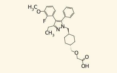 CCc1nn(C[C@H]2CC[C@H](COCC(=O)O)CC2)c(-c2ccccc2)c1-c1cccc(OC)c1F